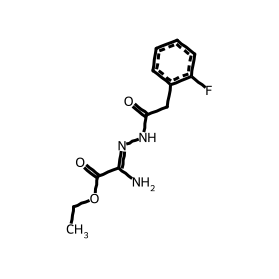 CCOC(=O)C(N)=NNC(=O)Cc1ccccc1F